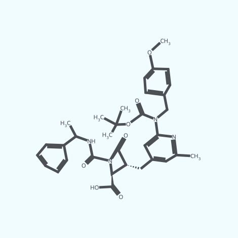 COc1ccc(CN(C(=O)OC(C)(C)C)c2cc(C[C@H]3C(=O)N(C(=O)NC(C)c4ccccc4)[C@@H]3C(=O)O)cc(C)n2)cc1